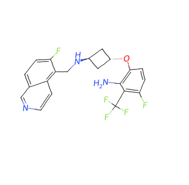 Nc1c(O[C@H]2C[C@H](NCc3c(F)ccc4cnccc34)C2)ccc(F)c1C(F)(F)F